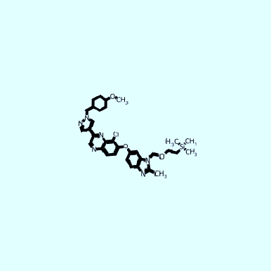 COC1CCC(Cn2cc(-c3cnc4ccc(Oc5ccc6nc(C)n(COCC[Si](C)(C)C)c6c5)c(Cl)c4n3)cn2)CC1